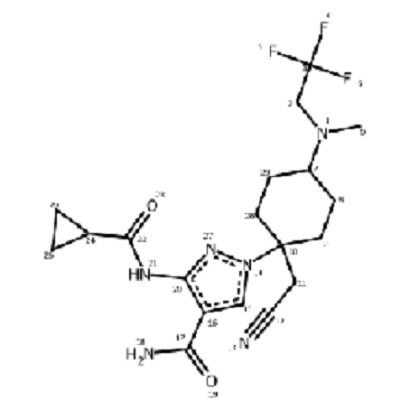 CN(CC(F)(F)F)C1CCC(CC#N)(n2cc(C(N)=O)c(NC(=O)C3CC3)n2)CC1